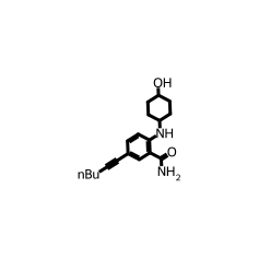 CCCCC#Cc1ccc(NC2CCC(O)CC2)c(C(N)=O)c1